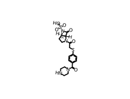 O=C(c1ccc(SCC(=O)N2CC[C@@H]3[C@@H]2C(=O)N3S(=O)(=O)O)cc1)N1CCNCC1